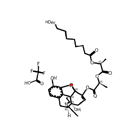 CCCCCCCCCCCCCCCCCC(=O)O[C@@H](C)C(=O)O[C@@H](C)C(=O)OC1=CC[C@@]2(O)[C@H]3Cc4ccc(O)c5c4[C@@]2(CCN3C)[C@H]1O5.O=C(O)C(F)(F)F